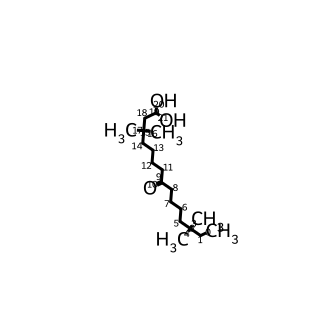 CCC(C)(C)CCCCC(=O)CCCCC(C)(C)CC(O)O